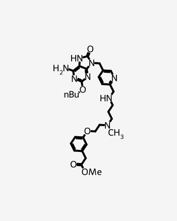 CCCCOc1nc(N)c2[nH]c(=O)n(Cc3ccc(CNCCCN(C)CCOc4cccc(CC(=O)OC)c4)nc3)c2n1